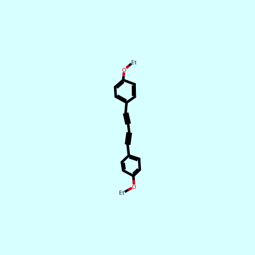 CCOc1ccc(C#CC#Cc2ccc(OCC)cc2)cc1